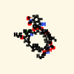 COc1cc2cc(c1Cl)N(C)C(=O)C[C@H](OC(=O)Nc1cccc([N+](=O)[O-])c1C)[C@]1(C)O[C@H]1[C@H](C)[C@@H]1C[C@@](O)(NC(=O)O1)[C@H](OC)/C=C/C=C(\C)C2